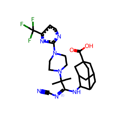 CC(C)(/C(=N\C#N)NC1C2CC3CC1CC(C(=O)O)(C3)C2)N1CCN(c2nccc(C(F)(F)F)n2)CC1